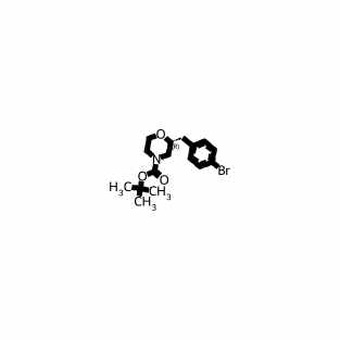 CC(C)(C)OC(=O)N1CCO[C@H](Cc2ccc(Br)cc2)C1